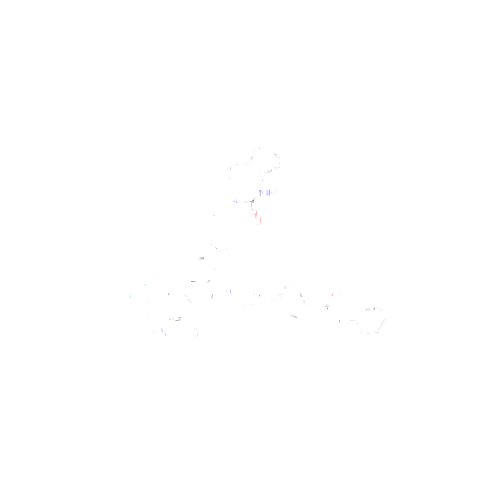 Nc1c(Cl)cc(C[C@@H](OC(=O)N2CCC(N3CCc4ccccc4NC3=O)CC2)C(=O)N2CCN(c3ccc(C(=O)Oc4ccccc4)cc3)CC2)cc1C(F)(F)F